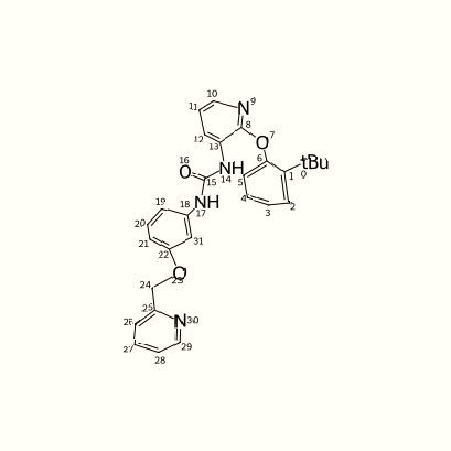 CC(C)(C)c1ccccc1Oc1ncccc1NC(=O)Nc1cccc(OCc2ccccn2)c1